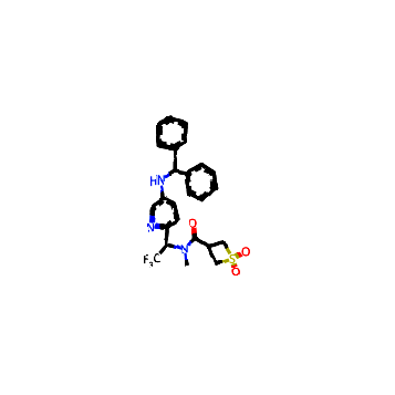 CN(C(=O)C1CS(=O)(=O)C1)C(c1ccc(NC(c2ccccc2)c2ccccc2)cn1)C(F)(F)F